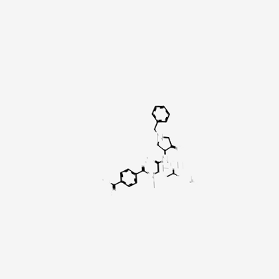 CC(C)C[C@H](NC(=O)c1ccc(C(=O)[O-])cc1)C(=O)NC1CN(Cc2ccccc2)CC1=O.[Li+]